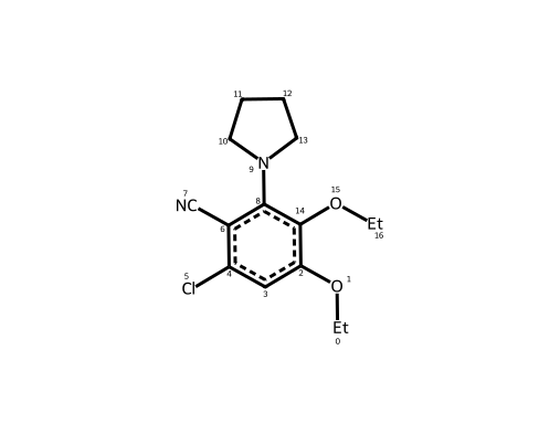 CCOc1cc(Cl)c(C#N)c(N2CCCC2)c1OCC